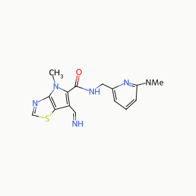 CNc1cccc(CNC(=O)c2c(C=N)c3scnc3n2C)n1